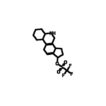 O=S(=O)(OC1CCC2C1=CCC1=C2CNC2CCCCC12)C(F)(F)F